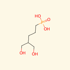 O=P(O)(O)CCCC(CO)CO